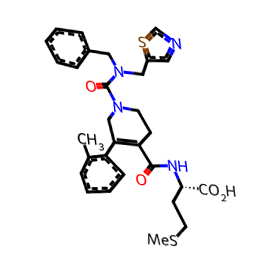 CSCC[C@H](NC(=O)C1=C(c2ccccc2C)CN(C(=O)N(Cc2ccccc2)Cc2cncs2)CC1)C(=O)O